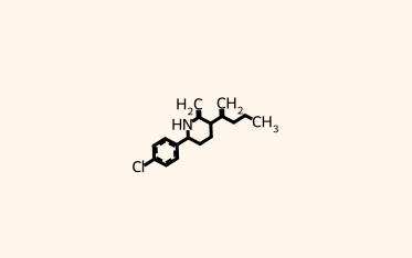 C=C(CCC)C1CCC(c2ccc(Cl)cc2)NC1=C